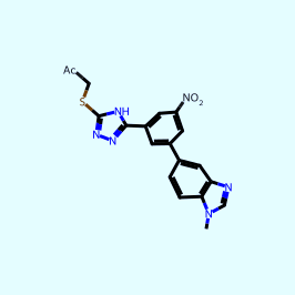 CC(=O)CSc1nnc(-c2cc(-c3ccc4c(c3)ncn4C)cc([N+](=O)[O-])c2)[nH]1